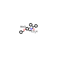 COc1cc2c(cc1OCc1ccccc1)C[C@@H](C(=O)O)N(C(=O)C(c1ccccc1)c1ccccc1)C2